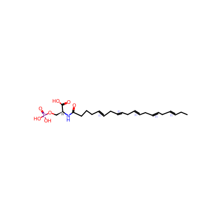 CC/C=C/C/C=C/C/C=C/C/C=C/C/C=C/CCCC(=O)N[C@@H](COP(=O)(O)O)C(=O)O